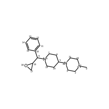 CN1CCN(C2CCN(C(c3ccccc3)C3CO3)CC2)CC1